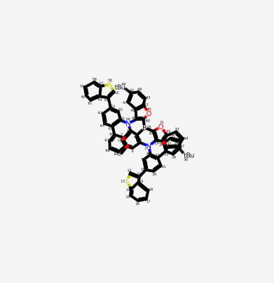 Cc1cc2c3c(c1)N(c1cc(-c4csc5ccccc45)ccc1-c1ccccc1)c1c(oc4ccc(C(C)(C)C)cc14)B3c1oc3ccc(C(C)(C)C)cc3c1N2c1cc(-c2csc3ccccc23)ccc1-c1ccccc1